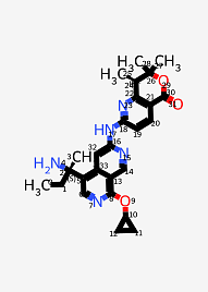 CC[C@](C)(N)c1cnc(OC2CC2)c2cnc(Nc3ccc4c(n3)[C@@H](C)C(C)(C)OC4=O)cc12